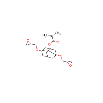 C=C(C)C(=O)OC12CC3CC(OCC4CO4)(CC(OCC4CO4)(C3)C1)C2